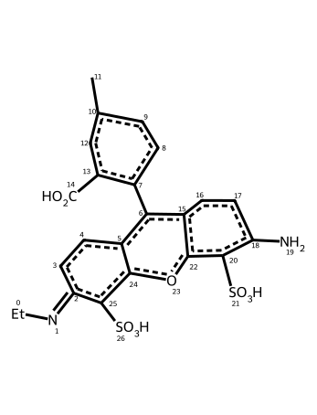 CC/N=c1\ccc2c(-c3ccc(C)cc3C(=O)O)c3ccc(N)c(S(=O)(=O)O)c3oc-2c1S(=O)(=O)O